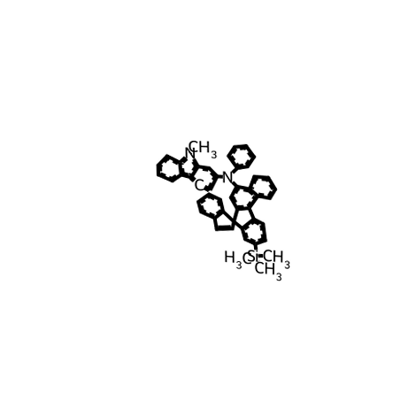 Cn1c2ccccc2c2ccc(N(c3ccccc3)c3cc4c(c5ccccc35)-c3ccc([Si](C)(C)C)cc3C43C=Cc4ccccc43)cc21